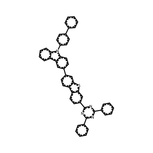 c1ccc(-c2ccc(-n3c4ccccc4c4cc(-c5ccc6c(c5)sc5cc(-c7nc(-c8ccccc8)nc(-c8ccccc8)n7)ccc56)ccc43)cc2)cc1